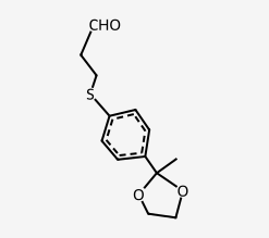 CC1(c2ccc(SCCC=O)cc2)OCCO1